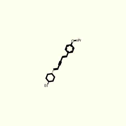 CCCOc1ccc(C=CC#CC=C[C@H]2CC[C@H](CC)CC2)cc1